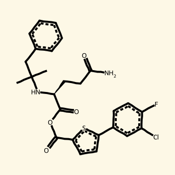 CC(C)(Cc1ccccc1)N[C@@H](CCC(N)=O)C(=O)OC(=O)c1ccc(-c2ccc(F)c(Cl)c2)s1